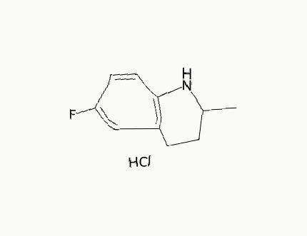 CC1CCc2cc(F)ccc2N1.Cl